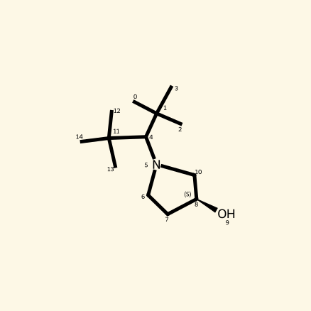 CC(C)(C)C(N1CC[C@H](O)C1)C(C)(C)C